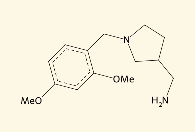 COc1ccc(CN2CCC(CN)C2)c(OC)c1